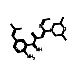 C=C(/C=C(\N=C/C)N1CC(C)OC(C)C1)C(=N)c1cc(C=C(C)C)ccc1N